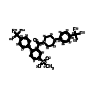 CS(=O)(=O)c1ccc(-c2ccc(C(F)(F)F)cc2)c(C(=O)N2CCN(c3ccc(C(F)(F)F)cc3)CC2)c1